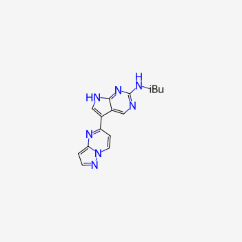 CCC(C)Nc1ncc2c(-c3ccn4nccc4n3)c[nH]c2n1